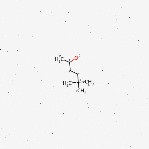 CC([O])CCC(C)(C)C